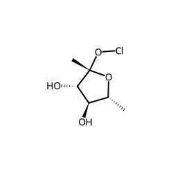 C[C@H]1O[C@@](C)(OCl)[C@@H](O)[C@@H]1O